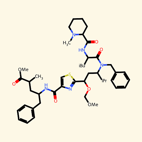 CCC(C)C(NC(=O)C1CCCCN1C)C(=O)N(Cc1ccccc1)C(CC(OCOC)c1nc(C(=O)NC(Cc2ccccc2)CC(C)C(=O)OC)cs1)C(C)C